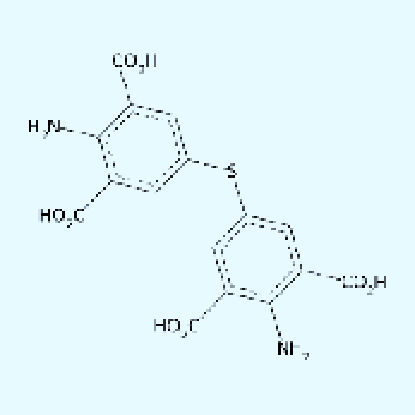 Nc1c(C(=O)O)cc(Sc2cc(C(=O)O)c(N)c(C(=O)O)c2)cc1C(=O)O